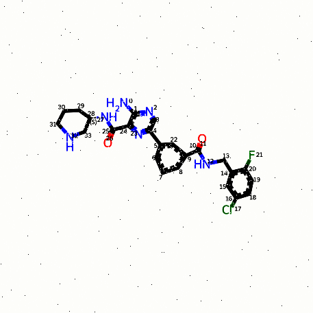 Nc1ncc(-c2cccc(C(=O)NCc3cc(Cl)ccc3F)c2)nc1C(=O)N[C@H]1CCCNC1